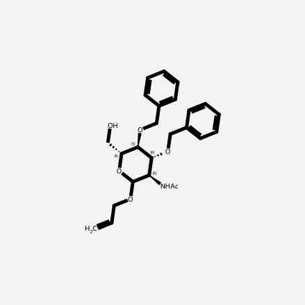 C=CCOC1O[C@H](CO)[C@@H](OCc2ccccc2)[C@H](OCc2ccccc2)[C@H]1NC(C)=O